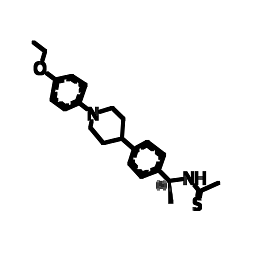 CCOc1ccc(N2CCC(c3ccc([C@H](C)NC(C)=S)cc3)CC2)cc1